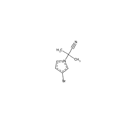 CC(C)(C#N)n1ccc(Br)c1